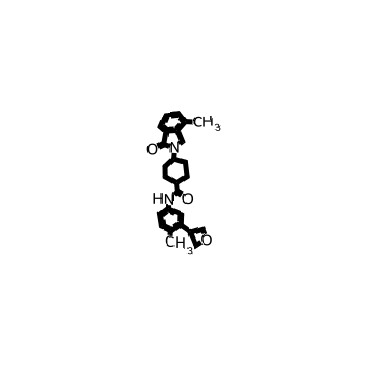 Cc1ccc(NC(=O)C2CCC(N3Cc4c(C)cccc4C3=O)CC2)cc1C1COC1